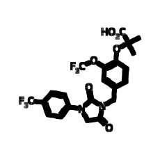 CC(C)(Oc1ccc(CN2C(=O)CN(c3ccc(C(F)(F)F)cc3)C2=O)cc1OC(F)(F)F)C(=O)O